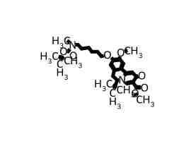 COC(=O)c1cn2c(cc1=O)-c1cc(OC)c(OCCCCCCN(C)C(=O)OC(C)(C)C)cc1CC2C(C)(C)C